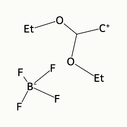 F[B-](F)(F)F.[CH2+]C(OCC)OCC